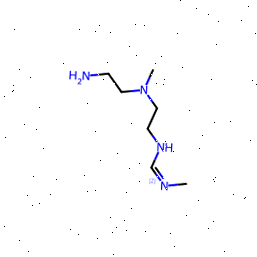 C/N=C\NCCN(C)CCN